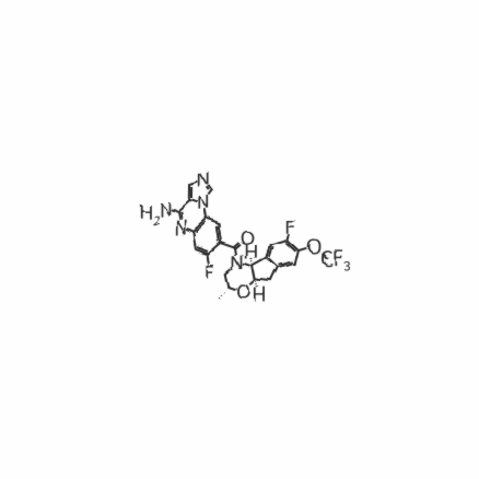 C[C@@H]1CN(C(=O)c2cc3c(cc2F)nc(N)c2cncn23)[C@H]2c3cc(F)c(OC(F)(F)F)cc3C[C@H]2O1